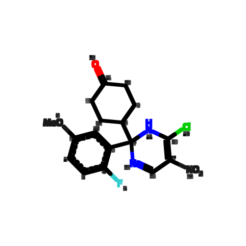 COc1ccc(F)c(C2(C3CCC(=O)CC3)N=CC([N+](=O)[O-])=C(Cl)N2)c1